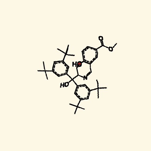 CCC(N=Cc1cc(C(=O)OC)ccc1O)C(O)(c1cc(C(C)(C)C)cc(C(C)(C)C)c1)c1cc(C(C)(C)C)cc(C(C)(C)C)c1